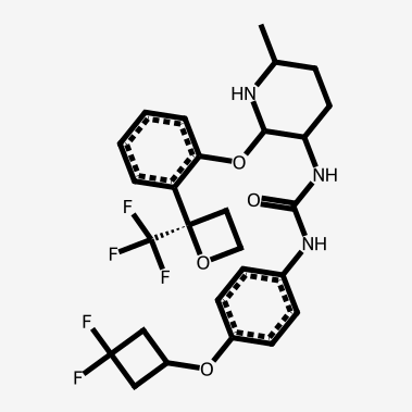 CC1CCC(NC(=O)Nc2ccc(OC3CC(F)(F)C3)cc2)C(Oc2ccccc2[C@@]2(C(F)(F)F)CCO2)N1